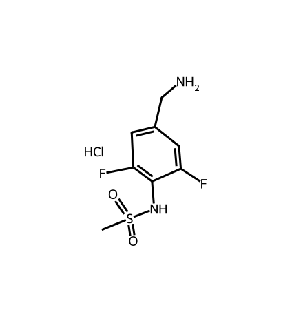 CS(=O)(=O)Nc1c(F)cc(CN)cc1F.Cl